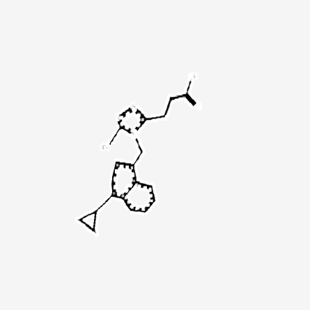 O=C(O)CCc1nnc(Br)n1Cc1ccc(C2CC2)c2ccccc12